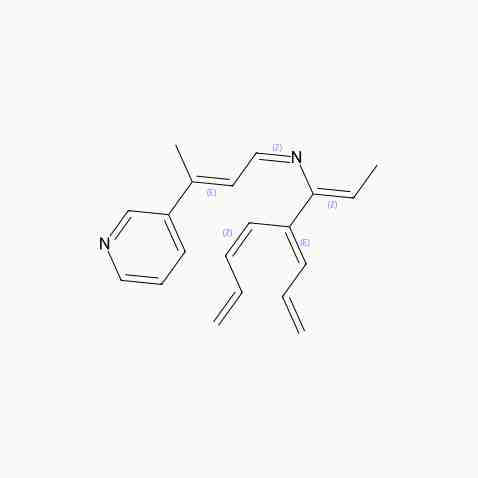 C=C\C=C/C(=C\C=C)C(=C/C)/N=C\C=C(/C)c1cccnc1